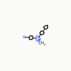 Cc1nc(-c2ccc(C#N)cc2)nc(-c2ccc(-c3ccccc3)cc2)n1